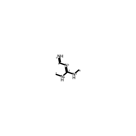 CNC(=NC=N)NC